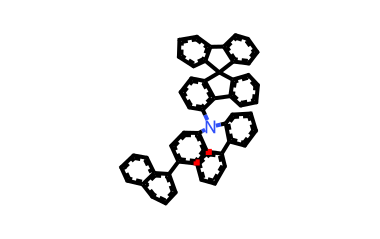 c1ccc(-c2ccccc2N(c2ccc(-c3cccc4ccccc34)cc2)c2cccc3c2-c2ccccc2C32c3ccccc3-c3ccccc32)cc1